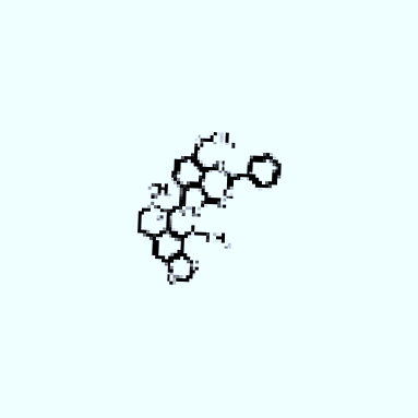 COc1ccc2c(c1OC(=O)c1ccccc1)C(=O)O[C@@H]2[C@H]1c2c(cc3c(c2OC)OCO3)CCN1C